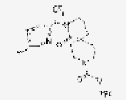 CC(C)(C)OC(=O)N1CCC2(CCCN(C(c3ccc(Br)cn3)C(F)(F)F)C2=O)CC1